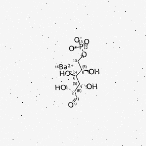 O=C[C@H](O)[C@@H](O)[C@@H](O)[C@H](O)COP(=O)([O-])[O-].[Ba+2]